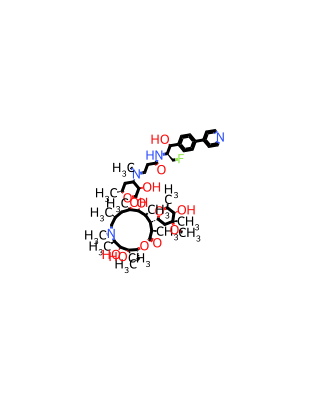 CC[C@H]1OC(=O)[C@H](C)C([C@H]2C[C@@](C)(OC)[C@@H](O)[C@H](C)O2)[C@H](C)[C@@H](O[C@@H]2O[C@H](C)C[C@H](N(C)CCC(=O)N[C@H](CF)[C@H](O)c3ccc(-c4ccncc4)cc3)[C@H]2O)[C@](C)(O)C[C@@H](C)CN(C)[C@H](C)[C@@H](O)[C@]1(C)O